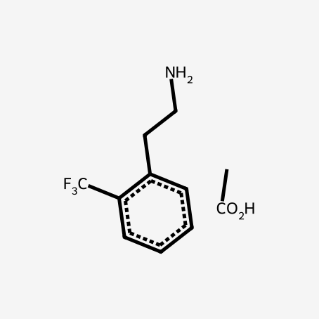 CC(=O)O.NCCc1ccccc1C(F)(F)F